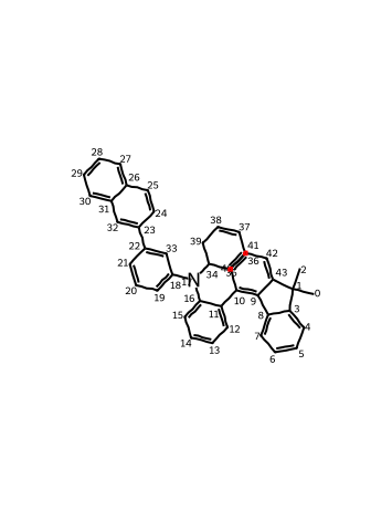 CC1(C)c2ccccc2-c2c(-c3ccccc3N(c3cccc(-c4ccc5ccccc5c4)c3)C3C=CC=CC3)cccc21